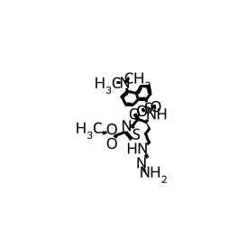 CCOC(=O)c1csc(C(=O)[C@H](CCCNC=NN)NS(=O)(=O)c2cccc3c(N(C)C)cccc23)n1